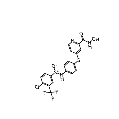 O=C(NO)c1cc(Sc2ccc(N[S+]([O-])c3ccc(Cl)c(C(F)(F)F)c3)cc2)ccn1